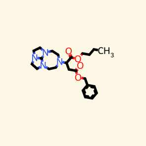 CCCCOC(=O)C(CC(=O)OCc1ccccc1)N1CCN2CCN3CCN(CC1)C23